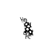 CC(=O)[C@H]1CCC2C3CC[C@H]4CC(O)CC[C@]4(C)C3CC(=O)[C@@]21C